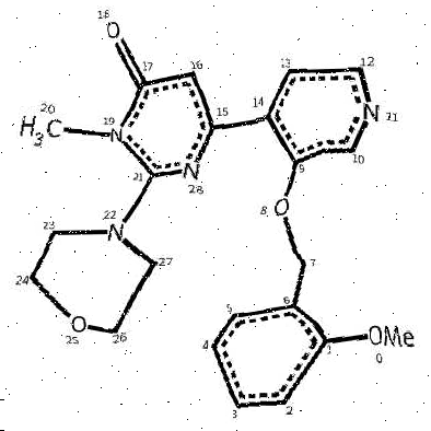 COc1ccccc1COc1cnccc1-c1cc(=O)n(C)c(N2CCOCC2)n1